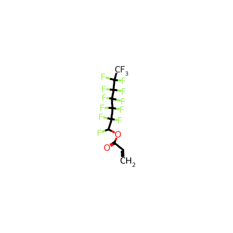 C=CC(=O)OC(F)C(F)(F)C(F)(F)C(F)(F)C(F)(F)C(F)(F)C(F)(F)F